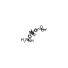 Cc1nn(-c2ccc(C(=N)N)cc2)c(=O)n1-c1ccc(CCC(=O)OCC(C)C)cc1